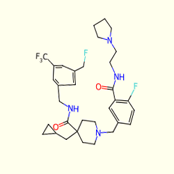 O=C(NCCN1CCCC1)c1cc(CN2CCC(CC3CC3)(C(=O)NCc3cc(CF)cc(C(F)(F)F)c3)CC2)ccc1F